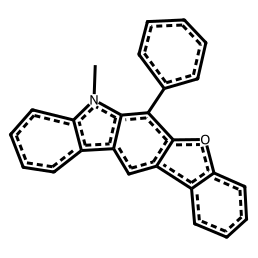 Cn1c2ccccc2c2cc3c(oc4ccccc43)c(-c3ccccc3)c21